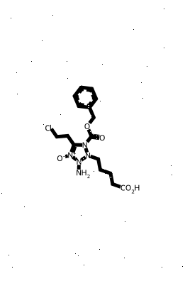 NN1N(CCCCC(=O)O)N(C(=O)OCc2ccccc2)C(CCCl)=[N+]1[O-]